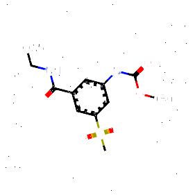 COCNC(=O)c1cc(NC(=O)OC(C)(C)C)cc(S(C)(=O)=O)c1